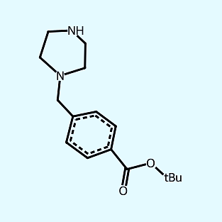 CC(C)(C)OC(=O)c1ccc(CN2CCNCC2)cc1